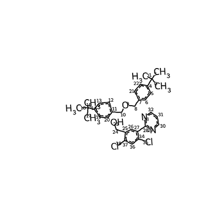 CC(C)(C)c1ccc(COCc2ccc(C(C)(C)C)cc2)cc1.OCc1cc(-c2ncccn2)c(Cl)cc1Cl